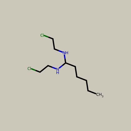 CCCCCC(NCCCl)NCCCl